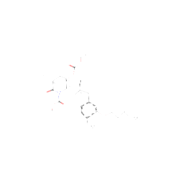 COCCCOc1cc(C[C@@H](C[C@H]2[C@@H](OC(=O)OC(C)(C)C)C[C@@H](C(C)C)C(=O)N2C(=O)OC(C)(C)C)C(C)C)ccc1OC